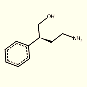 NCC[C@H](CO)c1ccccc1